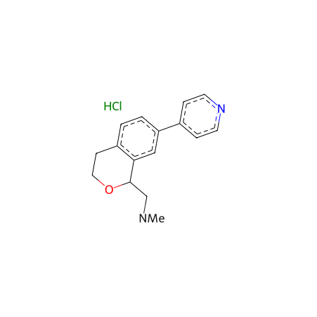 CNCC1OCCc2ccc(-c3ccncc3)cc21.Cl